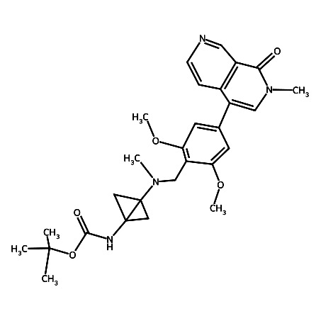 COc1cc(-c2cn(C)c(=O)c3cnccc23)cc(OC)c1CN(C)C12CC1(NC(=O)OC(C)(C)C)C2